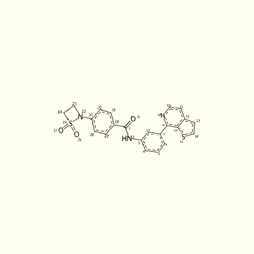 O=C(Nc1cccc(-c2nccc3ccsc23)c1)c1ccc(N2CCS2(=O)=O)cc1